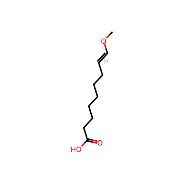 CO/C=C/CCCCCCC(=O)O